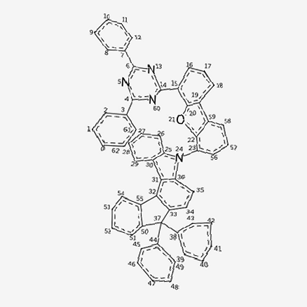 c1ccc(-c2nc(-c3ccccc3)nc(-c3cccc4c3oc3c(-n5c6ccccc6c6c7c(ccc65)C(c5ccccc5)(c5ccccc5)c5ccccc5-7)cccc34)n2)cc1